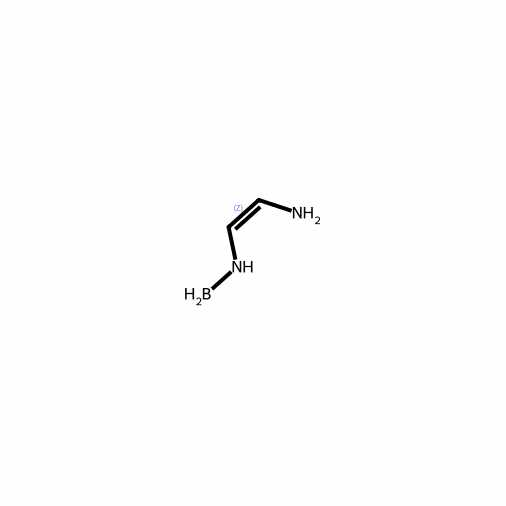 BN/C=C\N